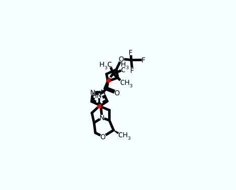 C[C@H]1OCC2C[C@@H](NC(=O)OC(C)(C)C)CC1N2c1cnn(C2CC(OC(F)(F)F)C2)c1